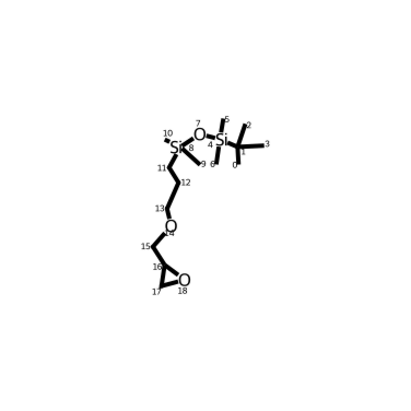 CC(C)(C)[Si](C)(C)O[Si](C)(C)CCCOCC1CO1